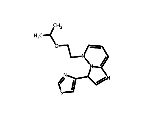 CC(C)OCCN1C=CC=C2N=CC(c3cscn3)N21